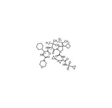 CC(C)[C@@]1(C2CCC2)C[C@@H](C(=O)N[C@]2(C(=O)NS(=O)(=O)C3CC3)C[C@H]2C2CC2)N(C(=O)[C@@H](NC(=O)[C@@H](NC(=O)N2CCOCC2)C2CCCCC2)C(C)(C)C)C1